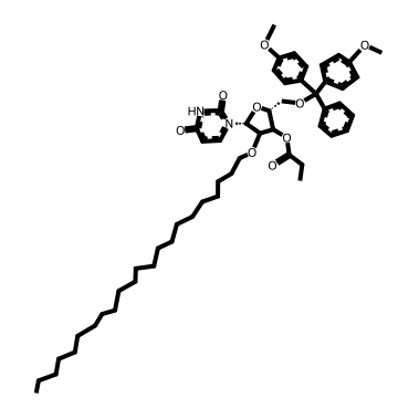 CCCCCCCCCCCCCCCCCCCCCCOC1C(OC(=O)CC)[C@@H](COC(c2ccccc2)(c2ccc(OC)cc2)c2ccc(OC)cc2)O[C@H]1n1ccc(=O)[nH]c1=O